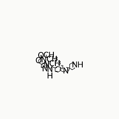 CC(Nc1ncc2c(n1)N(C(C)C)C(=O)OC2)c1ccc(CN2CC3(CCNCC3)C2)cc1